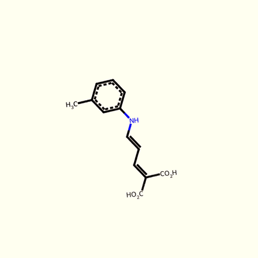 Cc1cccc(NC=CC=C(C(=O)O)C(=O)O)c1